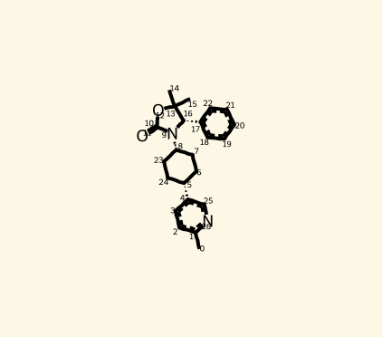 Cc1ccc([C@H]2CC[C@@H](N3C(=O)OC(C)(C)[C@@H]3c3ccccc3)CC2)cn1